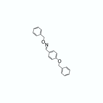 C(=NOCc1ccccc1)c1ccc(OCc2ccccc2)cc1